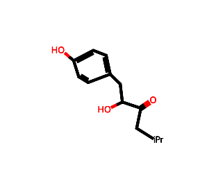 CC(C)CC(=O)C(O)Cc1ccc(O)cc1